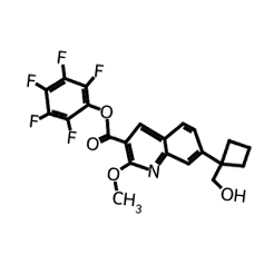 COc1nc2cc(C3(CO)CCC3)ccc2cc1C(=O)Oc1c(F)c(F)c(F)c(F)c1F